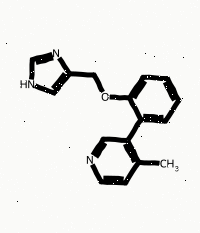 Cc1ccncc1-c1ccccc1OCc1c[nH]cn1